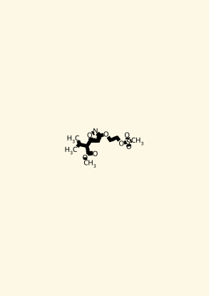 COC(=O)C(c1cc(OCCOS(C)(=O)=O)no1)C(C)C